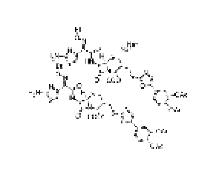 CCO/N=C(/C(=O)N[C@@H]1C(=O)N2C(C(=O)[O-])=C(CSc3ncc(-c4ccc(OC(C)=O)c(OC(C)=O)c4)o3)CS[C@H]12)c1csc(N)n1.CCO/N=C(/C(=O)N[C@@H]1C(=O)N2C(C(=O)[O-])=C(CSc3ncc(-c4ccc(OC(C)=O)c(OC(C)=O)c4)o3)CS[C@H]12)c1csc(N)n1.[Na+].[Na+]